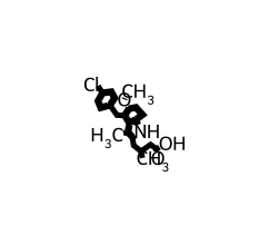 COc1ccc2[nH]c(CC(C)CC(=O)O)c(C)c2c1Cc1ccc(Cl)cc1